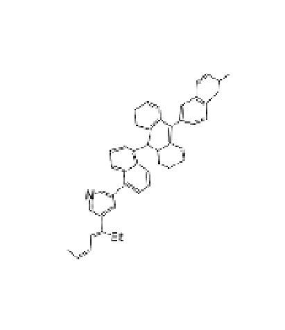 C/C=C\C=C(/CC)c1cncc(-c2cccc3c(C4C5=C(C=CCC5)C(c5ccc6c(c5)C=CC(C)C6)=C5C=CCCC54)cccc23)c1